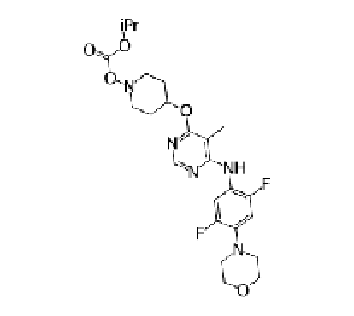 Cc1c(Nc2cc(F)c(N3CCOCC3)cc2F)ncnc1OC1CCN(OC(=O)OC(C)C)CC1